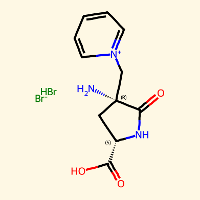 Br.N[C@@]1(C[n+]2ccccc2)C[C@@H](C(=O)O)NC1=O.[Br-]